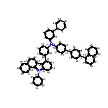 C1=CCC(c2cccc(N(c3ccc(-c4ccc(-c5cccc6ccccc56)cc4)cc3)c3cccc(-c4cccc5c4c4ccc6ccccc6c4n5-c4ccccc4)c3)c2)C=C1